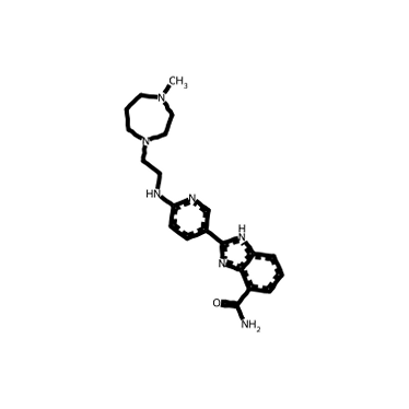 CN1CCCN(CCNc2ccc(-c3nc4c(C(N)=O)cccc4[nH]3)cn2)CC1